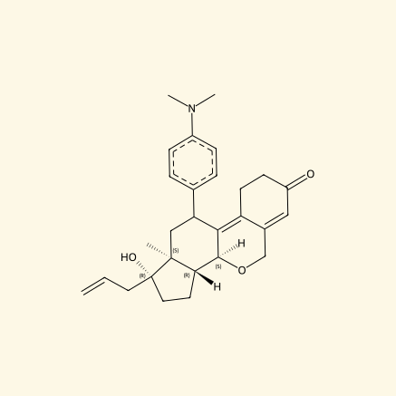 C=CC[C@]1(O)CC[C@H]2[C@@H]3OCC4=CC(=O)CCC4=C3C(c3ccc(N(C)C)cc3)C[C@@]21C